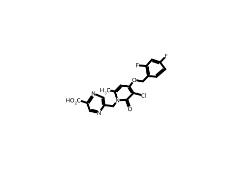 Cc1cc(OCc2ccc(F)cc2F)c(Cl)c(=O)n1Cc1cnc(C(=O)O)cn1